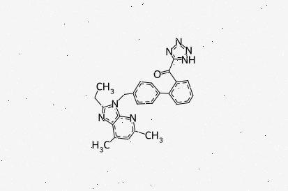 CCc1nc2c(C)cc(C)nc2n1Cc1ccc(-c2ccccc2C(=O)c2nnn[nH]2)cc1